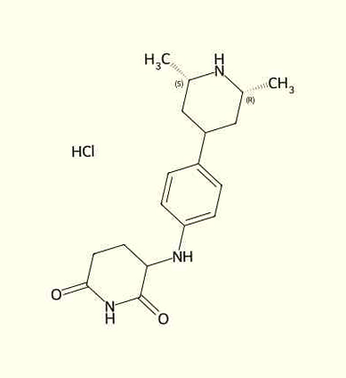 C[C@@H]1CC(c2ccc(NC3CCC(=O)NC3=O)cc2)C[C@H](C)N1.Cl